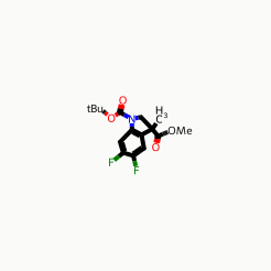 COC(=O)C1(C)CN(C(=O)OC(C)(C)C)c2cc(F)c(F)cc21